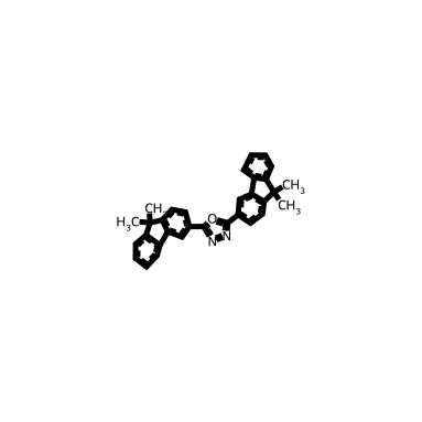 CC1(C)c2ccccc2-c2cc(-c3nnc(-c4ccc5c(c4)-c4ccccc4C5(C)C)o3)ccc21